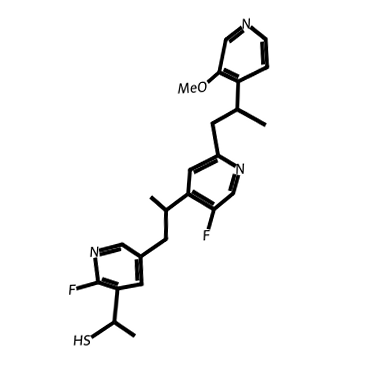 COc1cnccc1C(C)Cc1cc(C(C)Cc2cnc(F)c(C(C)S)c2)c(F)cn1